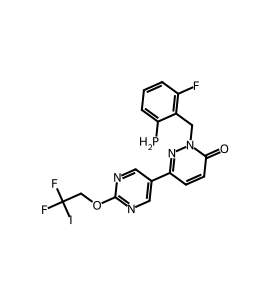 O=c1ccc(-c2cnc(OCC(F)(F)I)nc2)nn1Cc1c(F)cccc1P